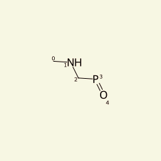 CNCP=O